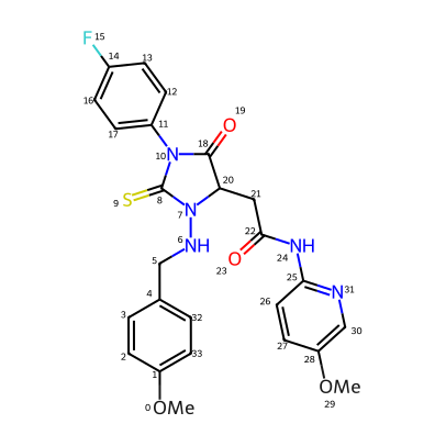 COc1ccc(CNN2C(=S)N(c3ccc(F)cc3)C(=O)C2CC(=O)Nc2ccc(OC)cn2)cc1